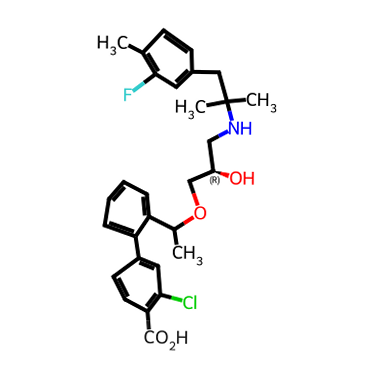 Cc1ccc(CC(C)(C)NC[C@@H](O)COC(C)c2ccccc2-c2ccc(C(=O)O)c(Cl)c2)cc1F